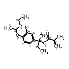 C=C(C)C(=O)OC(C)(CC)c1ccc(OC(C)OCC)c(I)c1